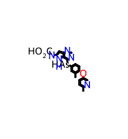 Cc1ccc(Oc2ccc([AsH]c3ncnc4cc(N(C)C(=O)O)[nH]c34)cc2C)cn1